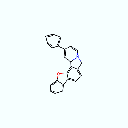 C1=CN2Cc3ccc4c(oc5ccccc54)c3C2C=C1c1ccccc1